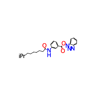 CC(C)CCCCCCC(=O)Nc1cccc(C(=O)On2nnc3ccccc32)c1